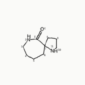 O=C1NCCCCC12CCCN2